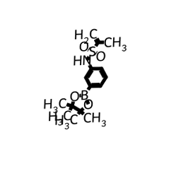 C=C(C)S(=O)(=O)Nc1cccc(B2OC(C)(C)C(C)(C)O2)c1